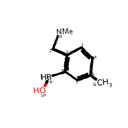 CNCc1ccc(C)cc1BO